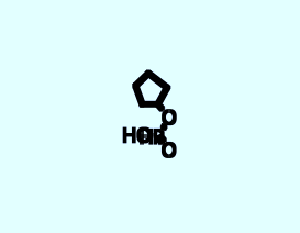 O=[PH](O)OC1CCCC1